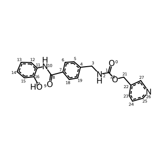 O=C(NCc1ccc(C(=O)Nc2ccccc2O)cc1)OCc1cccnc1